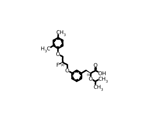 Cc1ccc(OC[C@H](F)COc2cccc(C[C@H](OC(C)C)C(=O)O)c2)c(C)c1